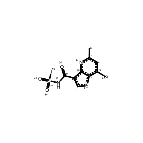 Cc1cc(Br)c2scc(C(=O)NS(=O)(=O)I)c2n1